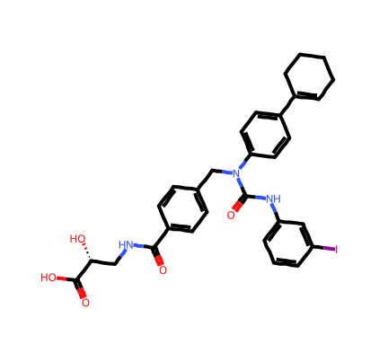 O=C(NC[C@@H](O)C(=O)O)c1ccc(CN(C(=O)Nc2cccc(I)c2)c2ccc(C3=CCCCC3)cc2)cc1